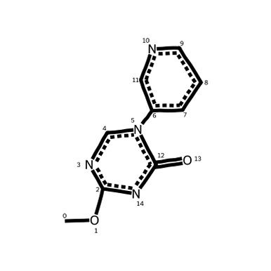 COc1ncn(-c2cccnc2)c(=O)n1